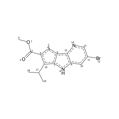 COC(=O)c1sc2c([nH]c3cc(Br)cnc32)c1C(C)C